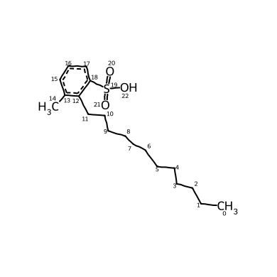 CCCCCCCCCCCCc1c(C)cccc1S(=O)(=O)O